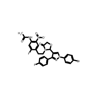 CC(=O)Nc1cc(F)c(CCN2C(=O)COC2c2cn(-c3ccc(Br)cc3)nc2-c2ccc(F)cc2)cc1[N+](=O)[O-]